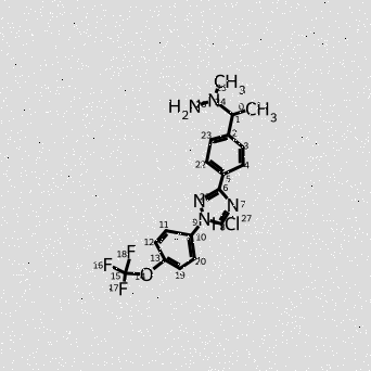 CC(c1ccc(-c2ncn(-c3ccc(OC(F)(F)F)cc3)n2)cc1)N(C)N.Cl